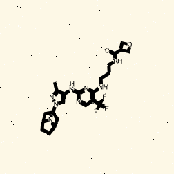 Cc1nn(C2CC3CCC(C2)N3C)cc1Nc1ncc(C(F)(F)F)c(NCCCNC(=O)C2COC2)n1